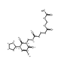 CCCC(=O)OCOC(=O)CCCC(=O)OCn1c(=O)c(F)cn(C2CCCO2)c1=O